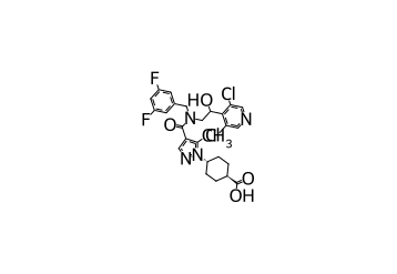 Cc1c(C(=O)N(Cc2cc(F)cc(F)c2)CC(O)c2c(Cl)cncc2Cl)cnn1[C@H]1CC[C@H](C(=O)O)CC1